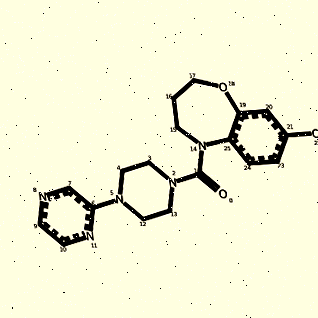 O=C(N1CCN(c2cnccn2)CC1)N1CCCOc2cc(Cl)ccc21